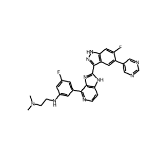 CN(C)CCNc1cc(F)cc(-c2nccc3[nH]c(-c4n[nH]c5cc(F)c(-c6cncnc6)cc45)nc23)c1